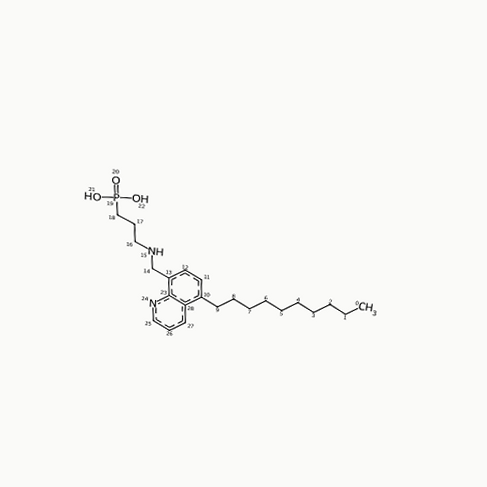 CCCCCCCCCCc1ccc(CNCCCP(=O)(O)O)c2ncccc12